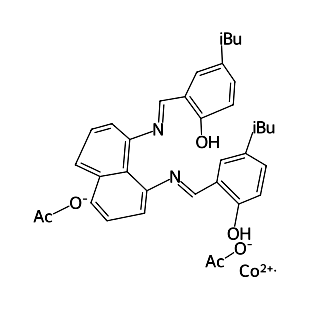 CC(=O)[O-].CC(=O)[O-].CCC(C)c1ccc(O)c(C=Nc2cccc3cccc(N=Cc4cc(C(C)CC)ccc4O)c23)c1.[Co+2]